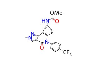 COC(=O)Nc1ccc2c(c1)c1nn(C)cc1c(=O)n2-c1ccc(C(F)(F)F)cc1